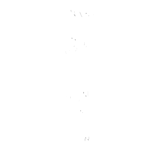 CC(=O)NC1CCN(S(=O)(=O)c2ccc(NC(=O)NCc3cccnc3)cc2)C1